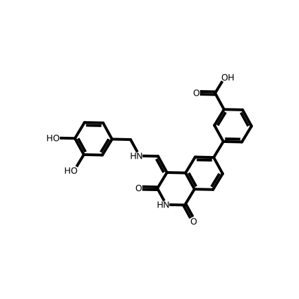 O=C1NC(=O)c2ccc(-c3cccc(C(=O)O)c3)cc2C1=CNCc1ccc(O)c(O)c1